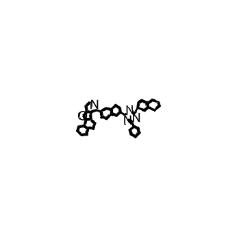 c1ccc(-c2nc(-c3ccc4ccccc4c3)nc(-c3ccc4cc(-c5nccc6oc7c8ccccc8ccc7c56)ccc4c3)n2)cc1